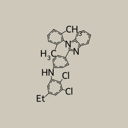 CCc1cc(Cl)c(Cl)c(Nc2ccc(-c3nc4ccccc4n3-c3c(C)cccc3C)cc2)c1